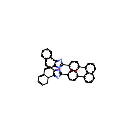 Cn1c(-c2ccc(-c3cccc4cccc(-c5ccc(-c6nc7c8ccccc8ccc7n6C)cc5)c34)cc2)nc2c1C=CC1=CC=CCC12